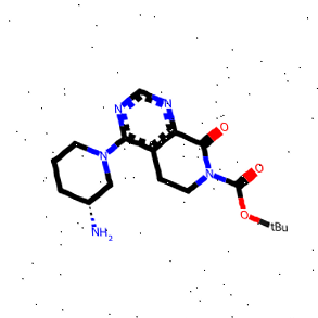 CC(C)(C)OC(=O)N1CCc2c(ncnc2N2CCC[C@@H](N)C2)C1=O